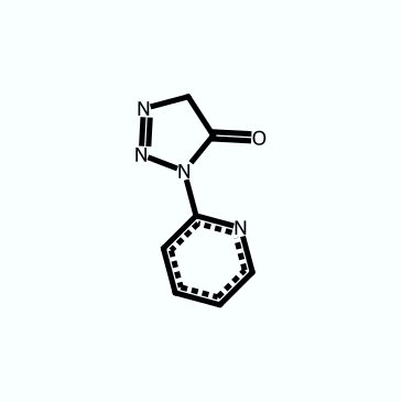 O=C1CN=NN1c1ccccn1